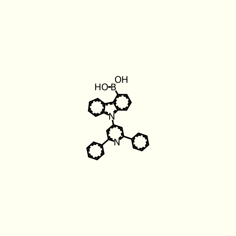 OB(O)c1cccc2c1c1ccccc1n2-c1cc(-c2ccccc2)nc(-c2ccccc2)c1